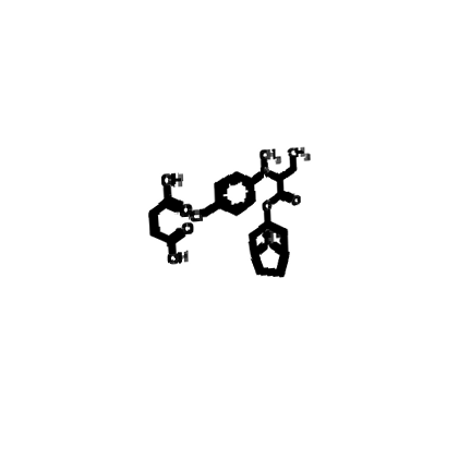 CCC(C(=O)OC1CC2CCC(C1)N2C)N(C)c1ccc(Cl)cc1.O=C(O)/C=C\C(=O)O